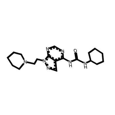 O=C(Nc1ncnc2c1cnn2CCN1CCCCC1)NC1CCCCC1